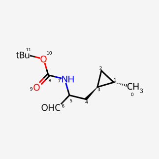 C[C@H]1C[C@@H]1CC(C=O)NC(=O)OC(C)(C)C